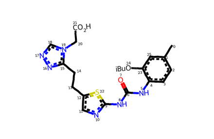 Cc1ccc(NC(=O)Nc2ncc(CCc3nncn3CC(=O)O)s2)c(OCC(C)C)c1